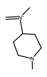 C=[N+](C)C1CCN(C)CC1